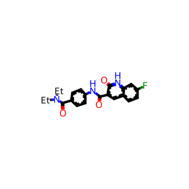 CCN(CC)C(=O)c1ccc(NC(=O)c2cc3ccc(F)cc3[nH]c2=O)cc1